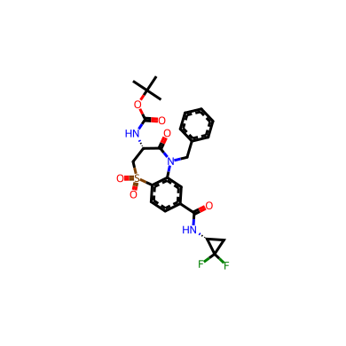 CC(C)(C)OC(=O)N[C@H]1CS(=O)(=O)c2ccc(C(=O)N[C@@H]3CC3(F)F)cc2N(Cc2ccccc2)C1=O